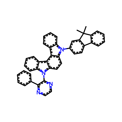 CC1(C)c2ccccc2-c2ccc(-n3c4ccccc4c4c5c6ccccc6n(-c6nccnc6-c6ccccc6)c5ccc43)cc21